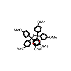 COc1ccc(C(SC(c2ccc(OC)cc2)(c2ccc(OC)cc2)c2ccc(OC)cc2)(c2ccc(OC)cc2)c2ccc(OC)cc2)cc1